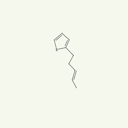 CC=CCCc1c[c]cs1